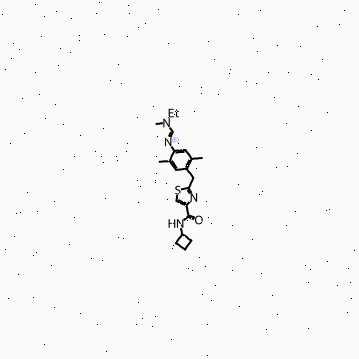 CCN(C)/C=N/c1cc(C)c(Cc2nc(C(=O)NC3CCC3)cs2)cc1C